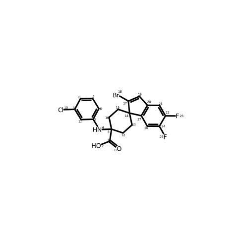 O=C(O)C1(Nc2cccc(Cl)c2)CCC2(CC1)C(Br)=Cc1cc(F)c(F)cc12